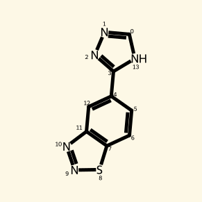 c1nnc(-c2ccc3snnc3c2)[nH]1